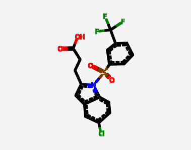 O=C(O)CCc1cc2cc(Cl)ccc2n1S(=O)(=O)c1cccc(C(F)(F)F)c1